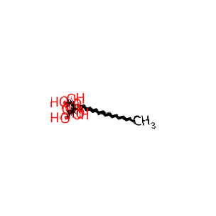 CCCCCCCCCCCCCCCCCC(=O)O[C@H]1[C@H](O)[C@@H](CO)OC(O)[C@@H]1O